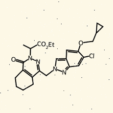 CCOC(=O)C(C)n1nc(Cn2cc3cc(OCC4CC4)c(Cl)cc3n2)c2c(c1=O)CCCC2